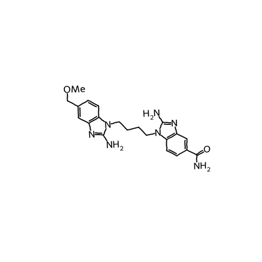 COCc1ccc2c(c1)nc(N)n2CCCCn1c(N)nc2cc(C(N)=O)ccc21